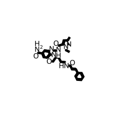 CCn1nc(C)cc1C(=O)Nc1nc2cc(C(N)=O)cc3c2n1[C@@H](CCCNC(=O)/C=C/c1ccccc1)CO3